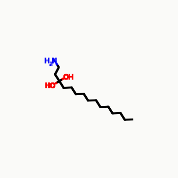 CCCCCCCCCCCCC(O)(O)CCN